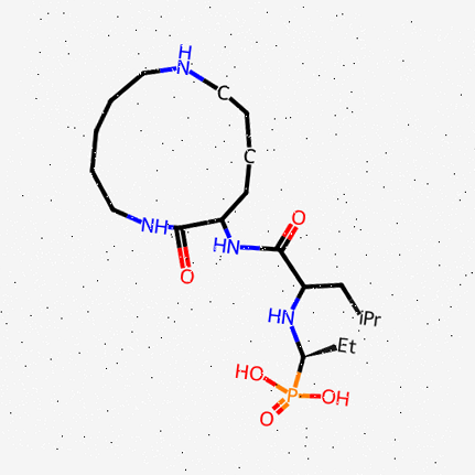 CC[C@H](NC(CC(C)C)C(=O)NC1CCCCNCCCCCNC1=O)P(=O)(O)O